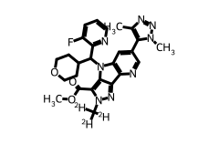 [2H]C([2H])([2H])n1nc2c3ncc(-c4c(C)nnn4C)cc3n(C(c3ncccc3F)C3CCOCC3)c2c1C(=O)OC